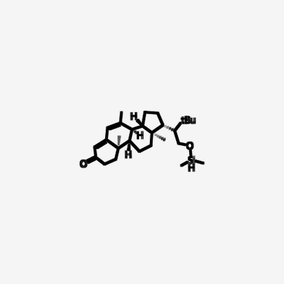 CC1=CC2=CC(=O)CC[C@]2(C)[C@H]2CC[C@]3(C)[C@@H](C(CO[SiH](C)C)C(C)(C)C)CC[C@H]3[C@H]12